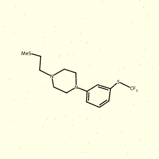 CSCCN1CCN(c2cccc(SC(F)(F)F)c2)CC1